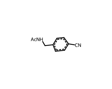 CC(=O)NCc1ccc(C#N)cc1